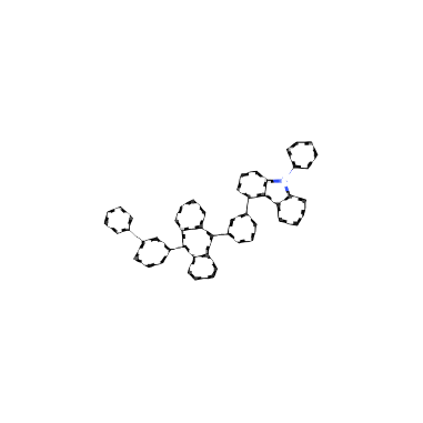 c1ccc(-c2cccc(-c3c4ccccc4c(-c4cccc(-c5cccc6c5c5ccccc5n6-c5ccccc5)c4)c4ccccc34)c2)cc1